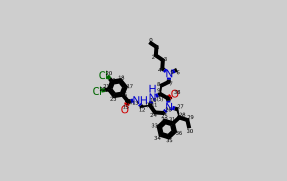 CCCCCN(C)CC[C@@H]1N[C@H](CNC(=O)c2ccc(Cl)c(Cl)c2)CCN(C[C@@H](CC)c2ccccc2)C1=O